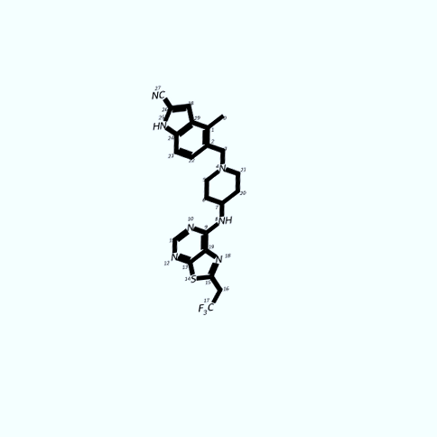 Cc1c(CN2CCC(Nc3ncnc4sc(CC(F)(F)F)nc34)CC2)ccc2[nH]c(C#N)cc12